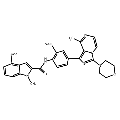 COc1cc(-c2nc(N3CCOCC3)n3ccnc(C)c23)ccc1NC(=O)c1cc2c(OC)cccc2n1C